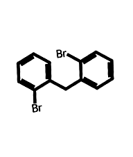 Brc1ccccc1Cc1ccccc1Br